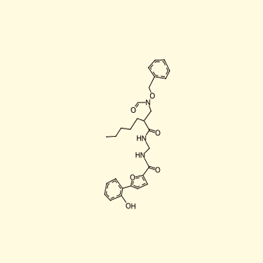 CCCCCC(CN(C=O)OCc1ccccc1)C(=O)NCNC(=O)c1ccc(-c2ccccc2O)o1